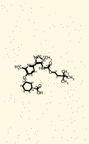 Cc1nc(-c2nnn(C)c2NC(=O)OCCC(C)(C)C)ccc1O[C@H]1CCC[C@H](C(=O)O)C1